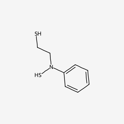 SCCN(S)c1ccccc1